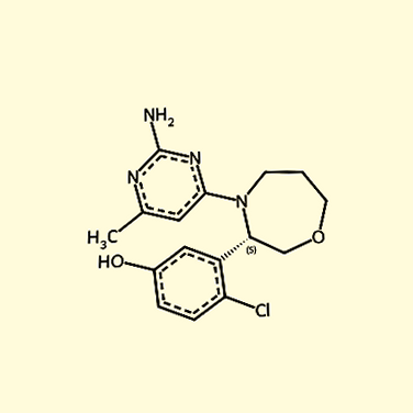 Cc1cc(N2CCCOC[C@@H]2c2cc(O)ccc2Cl)nc(N)n1